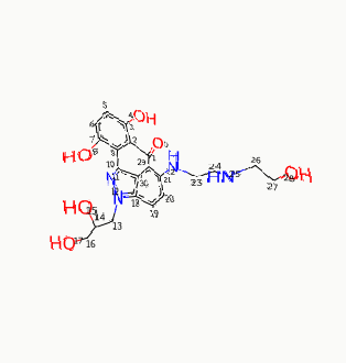 O=C1c2c(O)ccc(O)c2-c2nn(CC(O)CO)c3ccc(NCCNCCO)c1c23